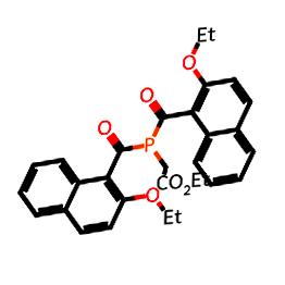 CCOC(=O)CP(C(=O)c1c(OCC)ccc2ccccc12)C(=O)c1c(OCC)ccc2ccccc12